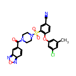 Cc1cc(Cl)cc(Oc2ccc(C#N)cc2S(=O)(=O)N2CCN(C(=O)c3ccc4nonc4c3)CC2)c1